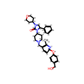 Cc1nc(Oc2ccc(CO)cc2)ccc1CN1CCC(N2C(=O)N(C3CCOCC3)CC2c2ccccc2)CC1